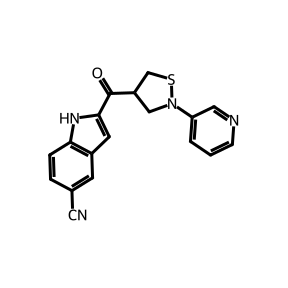 N#Cc1ccc2[nH]c(C(=O)C3CSN(c4cccnc4)C3)cc2c1